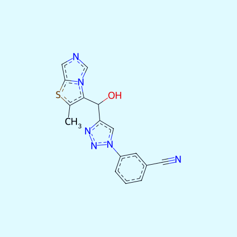 Cc1sc2cncn2c1C(O)c1cn(-c2cccc(C#N)c2)nn1